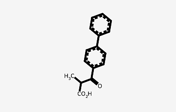 CC(C(=O)O)C(=O)c1ccc(-c2ccccc2)cc1